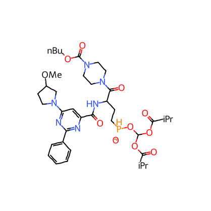 CCCCOC(=O)N1CCN(C(=O)C(CC[PH](=O)OC(OC(=O)C(C)C)OC(=O)C(C)C)NC(=O)c2cc(N3CCC(OC)C3)nc(-c3ccccc3)n2)CC1